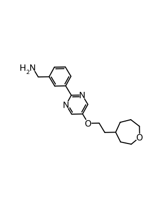 NCc1cccc(-c2ncc(OCCC3CCCOCC3)cn2)c1